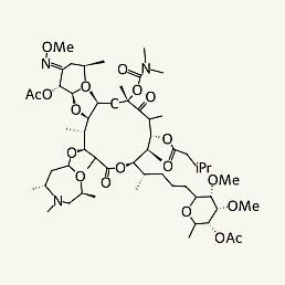 CON=C1C[C@@H](C)O[C@@H](O[C@@H]2[C@@H](C)[C@H](OC3C[C@@H](C)N(C)C[C@H](C)O3)C(C)C(=O)O[C@H]([C@@H](C)CCCC3OC(C)[C@@H](OC(C)=O)[C@@H](OC)[C@H]3OC)[C@H](C)[C@@H](OC(=O)CC(C)C)C(C)C(=O)[C@@](C)(OC(=O)N(C)C)C[C@@H]2C)[C@@H]1OC(C)=O